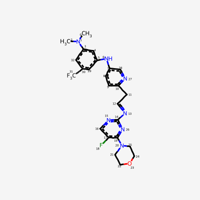 CN(C)c1cc(Nc2ccc(C/C=N/c3ncc(F)c(N4CCOCC4)n3)nc2)cc(C(F)(F)F)c1